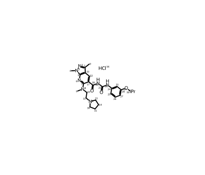 Cc1nn(C)c2nc(N(C)CCN3CCCC3)c(C(=O)NC(=O)Nc3cccc(OC(C)C)c3)cc12.Cl